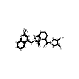 O=C(C1CCCc2nn(Cc3cc(C(F)(F)F)nc4ccccc34)c(=O)n21)N1CC(F)C(F)C1